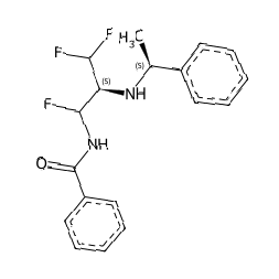 C[C@H](N[C@H](C(F)F)C(F)NC(=O)c1ccccc1)c1ccccc1